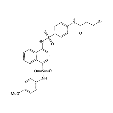 COc1ccc(NS(=O)(=O)c2ccc(NS(=O)(=O)c3ccc(NC(=O)CCBr)cc3)c3ccccc23)cc1